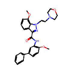 COc1ccc(-c2ccccc2)cc1NC(=O)c1nn(CCN2CCOCC2)c2c(OC)cccc12